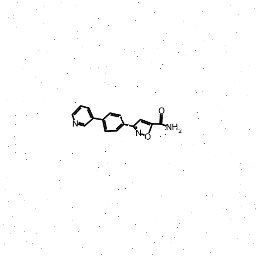 NC(=O)c1cc(-c2ccc(-c3cccnc3)cc2)no1